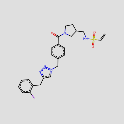 C=CS(=O)(=O)NCC1CCN(C(=O)c2ccc(Cn3cc(Cc4ccccc4I)nn3)cc2)C1